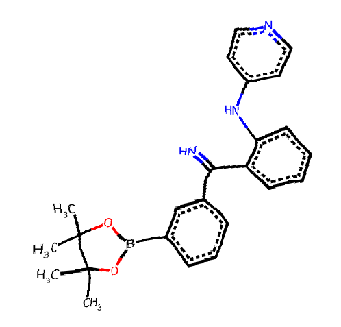 CC1(C)OB(c2cccc(C(=N)c3ccccc3Nc3ccncc3)c2)OC1(C)C